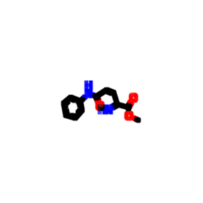 COC(=O)C(=N)/C=C\C(=O)Nc1ccccc1